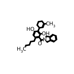 CCCCCc1cc(O)c(C2C=C(C)CCC2)c(O)c1C(=O)N1Cc2ccccc2C1